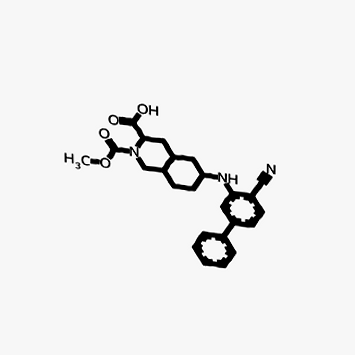 COC(=O)N1CC2CCC(Nc3cc(-c4ccccc4)ccc3C#N)CC2CC1C(=O)O